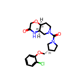 O=C1CO[C@H]2CCN(C(=O)N3CC[C@H](COc4ccccc4Cl)C3)C[C@H]2N1